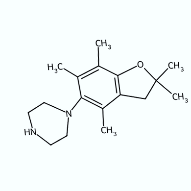 Cc1c(C)c(N2CCNCC2)c(C)c2c1OC(C)(C)C2